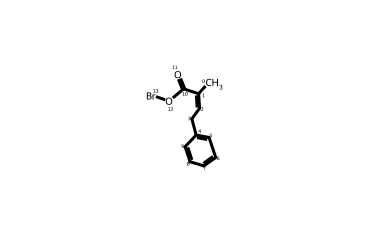 CC(=CCc1ccccc1)C(=O)OBr